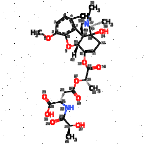 COc1ccc(C)c2c1O[C@H]1C(OC(=O)[C@H](C)OC(=O)C[C@H](NC(=O)[C@H](C)O)C(=O)O)=CC[C@@]3(O)[C@@H](C)N(C)CC[C@]213